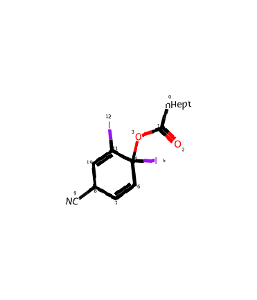 CCCCCCCC(=O)OC1(I)C=CC(C#N)C=C1I